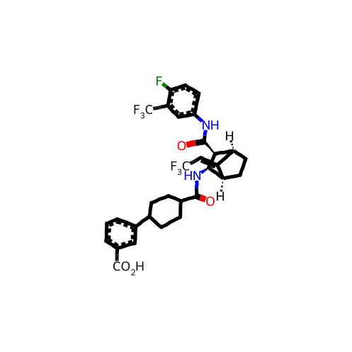 O=C(O)c1cccc(C2CCC(C(=O)N[C@H]3[C@@H](C(=O)Nc4ccc(F)c(C(F)(F)F)c4)[C@H]4CC[C@@H]3/C4=C\C(F)(F)F)CC2)c1